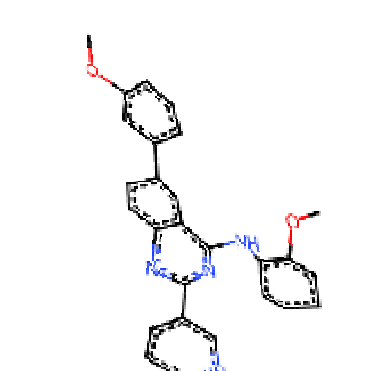 COc1cccc(-c2ccc3nc(-c4cccnc4)nc(Nc4ccccc4OC)c3c2)c1